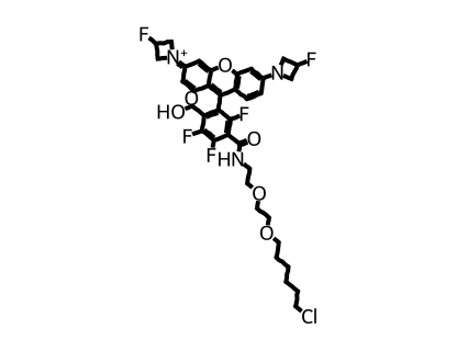 O=C(NCCOCCOCCCCCCCl)c1c(F)c(F)c(C(=O)O)c(-c2c3ccc(=[N+]4CC(F)C4)cc-3oc3cc(N4CC(F)C4)ccc23)c1F